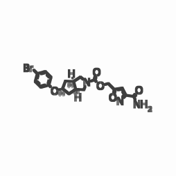 NC(=O)c1cc(COC(=O)N2C[C@H]3C[C@@H](Oc4ccc(Br)cc4)C[C@H]3C2)on1